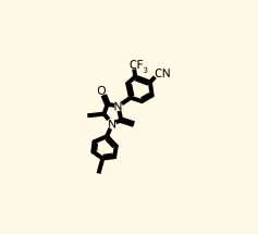 C=C1N(c2ccc(C#N)c(C(F)(F)F)c2)C(=O)C(C)N1c1ccc(C)cc1